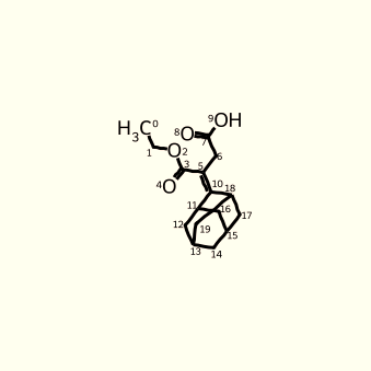 CCOC(=O)C(CC(=O)O)=C1C2CC3CC(C2)CC1C3